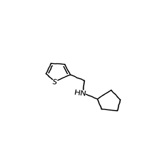 c1csc(CNC2CCCC2)c1